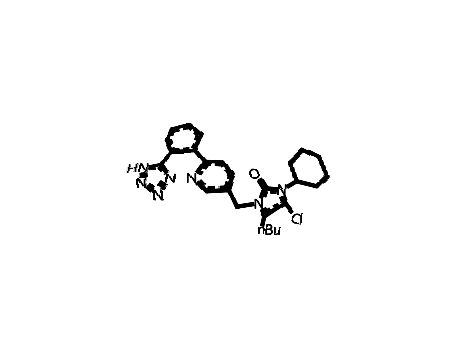 CCCCc1c(Cl)n(C2CCCCC2)c(=O)n1Cc1ccc(-c2ccccc2-c2nnn[nH]2)nc1